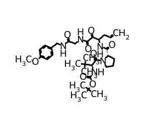 C=CCC(NC(=O)[C@@H]1CCCN1C(=O)[C@@H](NC(=O)OC(C)(C)C)C(C)(C)C)C(=O)C(=O)NCC(=O)NCc1ccc(OC)cc1